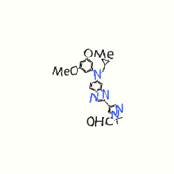 COc1cc(OC)cc(N(CC2CC2)c2ccc3ncc(-c4cnn(C(C)(C)C=O)c4)nc3c2)c1